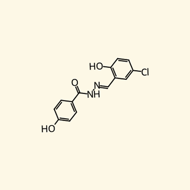 O=C(NN=Cc1cc(Cl)ccc1O)c1ccc(O)cc1